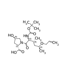 C=CCO[C@@H](C)C[C@@H](C)[C@H](NC(=O)OC(C)(C)C)C(=O)N1C[C@H](O)C[C@H]1C(=O)O